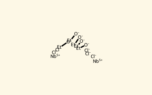 CC[O-].CC[O-].CC[O-].CC[O-].CC[O-].[Cl-].[Cl-].[Cl-].[Cl-].[Cl-].[Nb+5].[Nb+5]